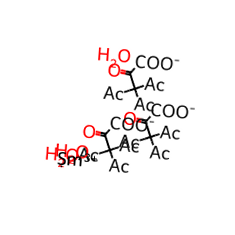 CC(=O)C(C(C)=O)(C(C)=O)C(=O)C(=O)[O-].CC(=O)C(C(C)=O)(C(C)=O)C(=O)C(=O)[O-].CC(=O)C(C(C)=O)(C(C)=O)C(=O)C(=O)[O-].O.O.O.[Sm+3]